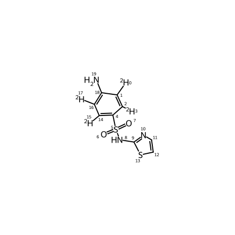 [2H]c1c([2H])c(S(=O)(=O)Nc2nccs2)c([2H])c([2H])c1N